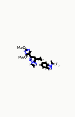 COc1ncc(-c2cc(C3C[C@@H]3c3ccc4cnn(C(C)C(F)(F)F)c4c3)c3nccn3n2)c(OC)n1